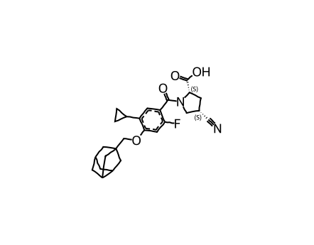 N#C[C@H]1C[C@@H](C(=O)O)N(C(=O)c2cc(C3CC3)c(OCC34CC5CC(C3)C(C5)C4)cc2F)C1